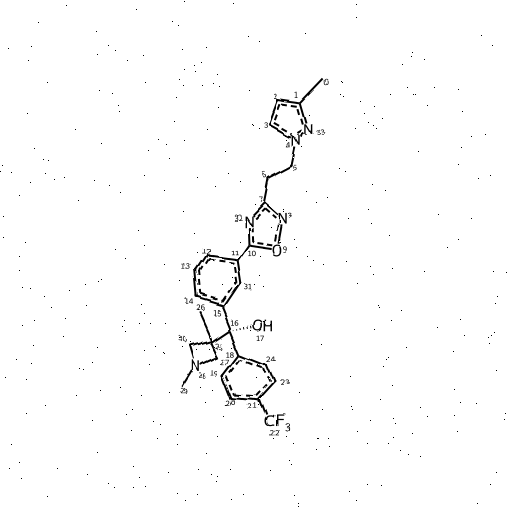 Cc1ccn(CCc2noc(-c3cccc([C@@](O)(c4ccc(C(F)(F)F)cc4)C4(C)CN(C)C4)c3)n2)n1